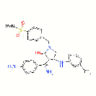 CNS(=O)(=O)c1ccc(CN2CC(Nc3cccc(C(F)(F)F)c3)=C([C@H](N)c3ccc(N)cc3)C2=O)cc1